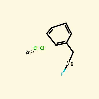 [Cl-].[Cl-].[F][Mg][CH2]c1ccccc1.[Zn+2]